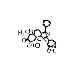 Cc1cc(-c2nc(-c3ccccc3)c3c(n2)[C@]2(C)CC(C=O)C(=O)[C@H](C)[C@H]2CC3)ccn1